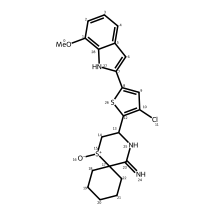 COc1cccc2cc(-c3cc(Cl)c(C4C[S+]([O-])C5(CCCCC5)C(=N)N4)s3)[nH]c12